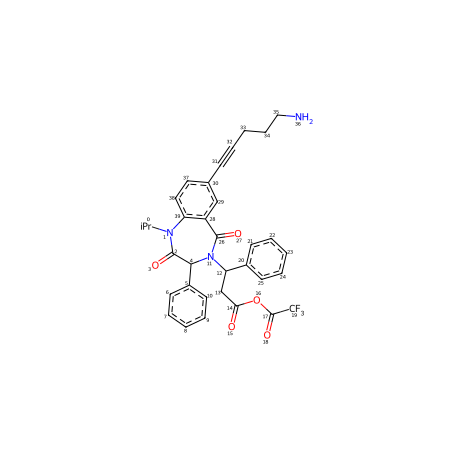 CC(C)N1C(=O)C(c2ccccc2)N(C(CC(=O)OC(=O)C(F)(F)F)c2ccccc2)C(=O)c2cc(C#CCCCN)ccc21